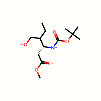 CCC(CO)[C@@H](CC(=O)OC)NC(=O)OC(C)(C)C